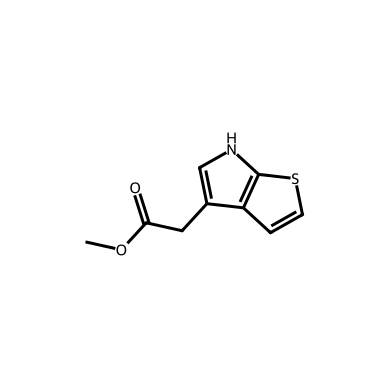 COC(=O)Cc1c[nH]c2sccc12